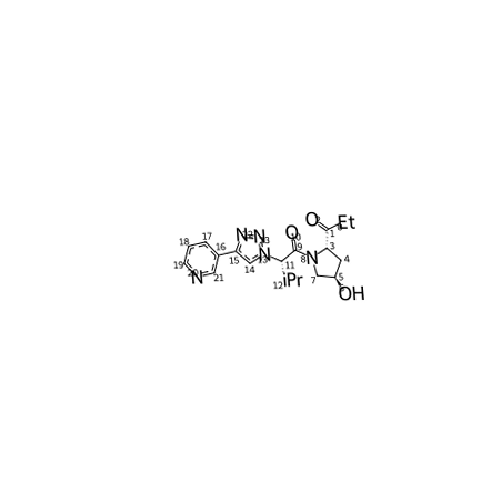 CCC(=O)[C@@H]1C[C@@H](O)CN1C(=O)[C@H](C(C)C)n1cc(-c2cccnc2)nn1